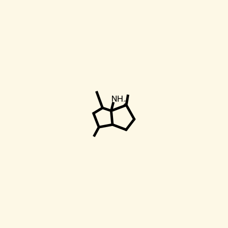 CC1CC(C)C2(N)C(C)CCC12